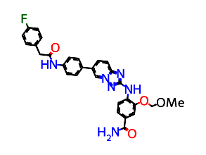 COCOc1cc(C(N)=O)ccc1Nc1nc2ccc(-c3ccc(NC(=O)Cc4ccc(F)cc4)cc3)cn2n1